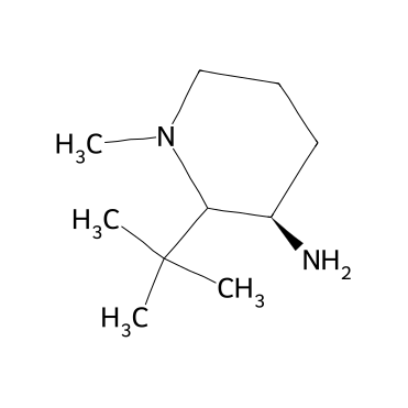 CN1CCC[C@@H](N)C1C(C)(C)C